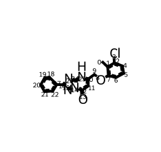 Cc1c(Cl)cccc1OCc1cc(=O)n2nc(-c3ccccc3)nc2[nH]1